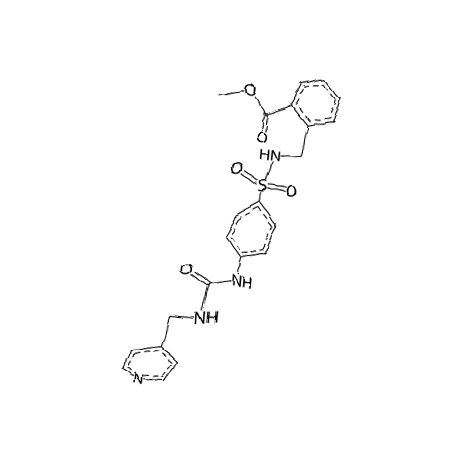 COC(=O)c1ccccc1CNS(=O)(=O)c1ccc(NC(=O)NCc2ccncc2)cc1